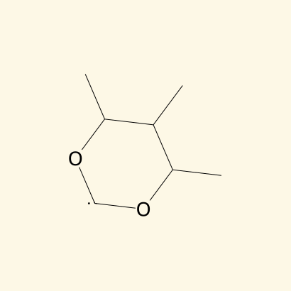 CC1O[CH]OC(C)C1C